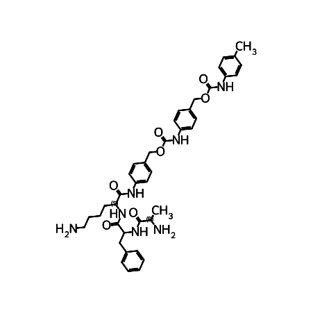 Cc1ccc(NC(=O)OCc2ccc(NC(=O)OCc3ccc(NC(=O)[C@H](CCCCN)NC(=O)C(Cc4ccccc4)NC(=O)[C@@H](C)N)cc3)cc2)cc1